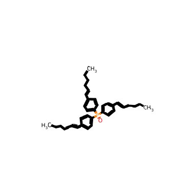 CCCCC=Cc1ccc(P(=O)(c2ccc(C=CCCCC)cc2)c2ccc(C=CCCCC)cc2)cc1